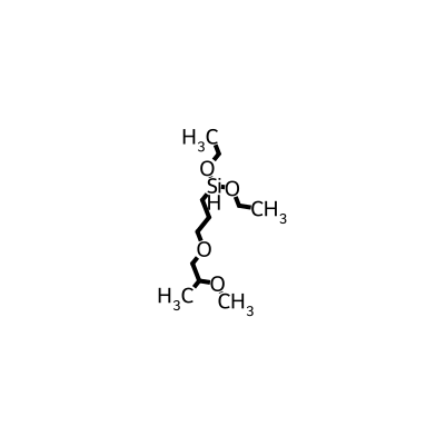 CCO[SiH](CCCOCC(C)OC)OCC